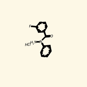 Cl.NN(C(=O)c1cccc(F)c1)c1ccccc1